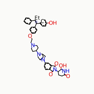 CC/C(=C(\c1ccc(O)cc1)c1ccc(OCCN2CCC(N3CC4CC3CN4c3ccc4c(c3)C(=O)N(C3CCC(=O)NC3O)C4=O)CC2)cc1)c1ccccc1